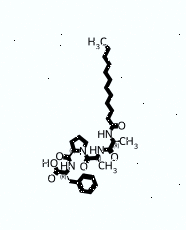 CCCCCCCCCCCC(=O)N[C@H](C)C(=O)N[C@H](C)C(=O)N1CCC[C@@H]1C(=O)N[C@H](Cc1ccccc1)C(=O)O